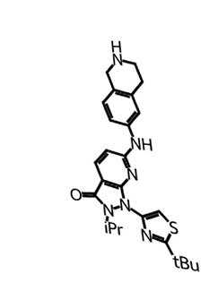 CC(C)n1c(=O)c2ccc(Nc3ccc4c(c3)CCNC4)nc2n1-c1csc(C(C)(C)C)n1